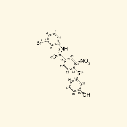 O=C(Nc1cccc(Br)c1)c1ccc(Sc2cccc(O)c2)c([N+](=O)[O-])c1